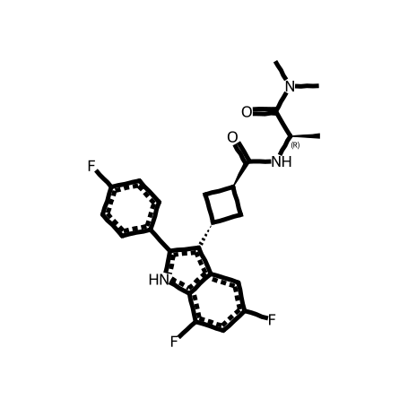 C[C@@H](NC(=O)[C@H]1C[C@H](c2c(-c3ccc(F)cc3)[nH]c3c(F)cc(F)cc32)C1)C(=O)N(C)C